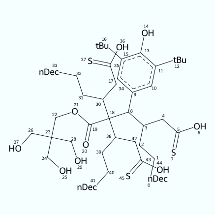 CCCCCCCCCCCCC(CC(O)=S)C(c1cc(C(C)(C)C)c(O)c(C(C)(C)C)c1)C(C(=O)OCC(CO)(CO)CO)(C(CCCCCCCCCCCC)CC(O)=S)C(CCCCCCCCCCCC)CC(O)=S